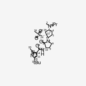 CC(C)N(C)[C@@H]1CC[C@H](N2CC[C@H](NC(=O)c3cc(C(C)(C)C)nn3C)C2=O)[C@H](CS(C)(=O)=O)C1